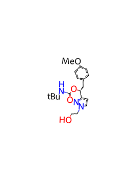 COc1ccc(C[C@H](OC(=O)NC(C)(C)C)c2ccn(CCO)n2)cc1